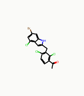 CC(=O)c1ccc(Cl)c(Cc2cc3c(Cl)cc(Br)cc3[nH]2)c1Cl